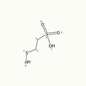 CCCSCCS(=O)(=O)O